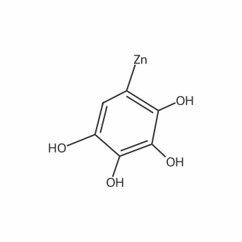 Oc1c[c]([Zn])c(O)c(O)c1O